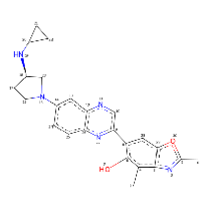 Cc1nc2c(C)c(O)c(-c3cnc4cc(N5CC[C@@H](NC6CC6)C5)ccc4n3)cc2o1